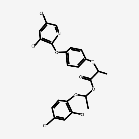 CC(OC(=O)C(C)Oc1ccc(Oc2ncc(Cl)cc2Cl)cc1)Oc1ccc(Cl)cc1Cl